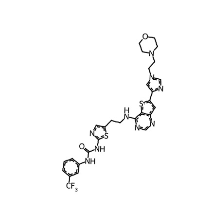 O=C(Nc1cccc(C(F)(F)F)c1)Nc1ncc(CCNc2ncnc3cc(-c4cn(CCN5CCOCC5)cn4)sc23)s1